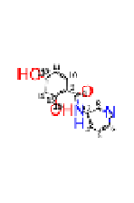 O=C(Nc1cccnc1)c1ccc(O)cc1O